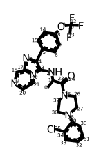 CC(Nc1c(-c2ccc(OC(F)(F)F)cc2)nc2cnccn12)C(=O)N1CCN(c2ccccc2Cl)CC1